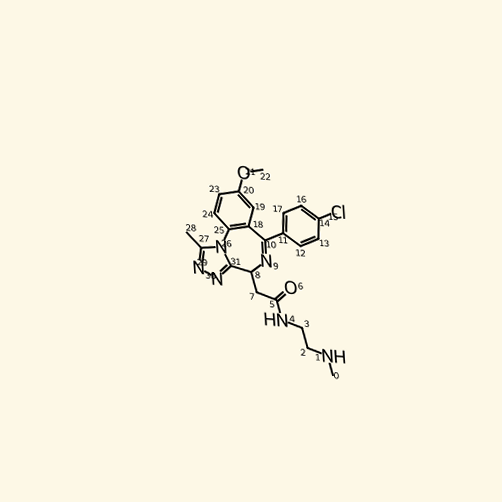 CNCCNC(=O)CC1N=C(c2ccc(Cl)cc2)c2cc(OC)ccc2-n2c(C)nnc21